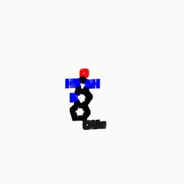 COc1ccc2nc3[nH]c(=O)[nH]c3cc2c1